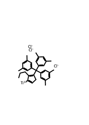 CCCC1=C(C(c2cc(C)cc(C)c2)(c2cc(C)cc(C)c2)c2cc(C)cc(C)c2)CC=[C]1[Ti+3].[Cl-].[Cl-].[Cl-]